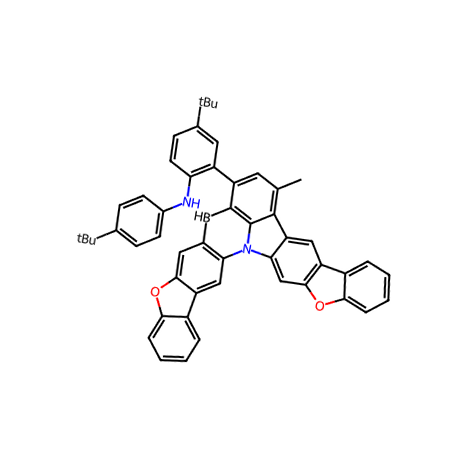 Cc1cc(-c2cc(C(C)(C)C)ccc2Nc2ccc(C(C)(C)C)cc2)c2c3c1c1cc4c(cc1n3-c1cc3c(cc1B2)oc1ccccc13)oc1ccccc14